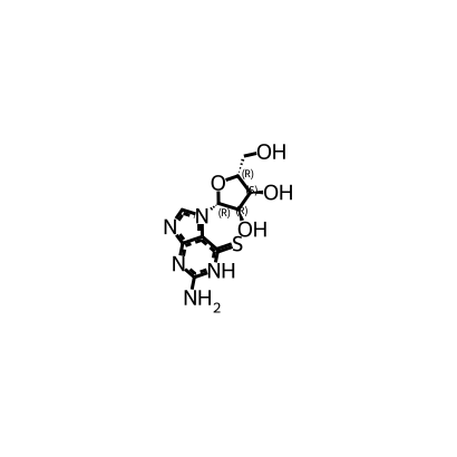 Nc1nc2ncn([C@@H]3O[C@H](CO)[C@@H](O)[C@H]3O)c2c(=S)[nH]1